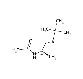 CC(=O)N[C@H](C)CSC(C)(C)C